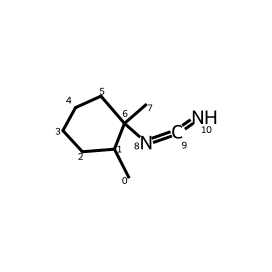 CC1CCCCC1(C)N=C=N